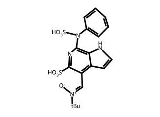 CC(C)(C)[N+]([O-])=Cc1c(S(=O)(=O)O)nc(N(c2ccccc2)S(=O)(=O)O)c2[nH]ccc12